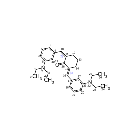 CCN(CC)c1cccc(/C=C2/CCC/C(=C\c3cccc(N(CC)CC)c3)C2=O)c1